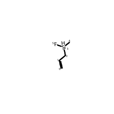 C=CC[SiH](C)F